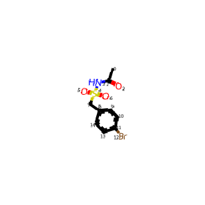 CC(=O)NS(=O)(=O)Cc1ccc(Br)cc1